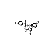 COc1ccc(C2CNC(=O)C2NC(=O)Nc2ccc(F)cc2)c(C)c1